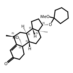 COC1(O[C@H]2CC[C@H]3[C@@H]4C[C@H](C)C5=CC(=O)CC[C@]5(CO)[C@H]4CC[C@]23C)CCCCC1